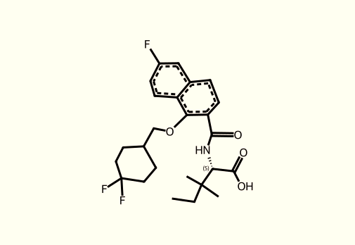 CCC(C)(C)[C@H](NC(=O)c1ccc2cc(F)ccc2c1OCC1CCC(F)(F)CC1)C(=O)O